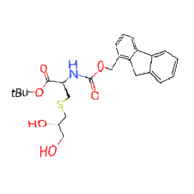 CC(C)(C)OC(=O)[C@H](CSC[C@@H](O)CO)NC(=O)OCc1cccc2c1Cc1ccccc1-2